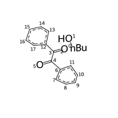 CCCCO.O=C(C(=O)c1ccccc1)c1ccccc1